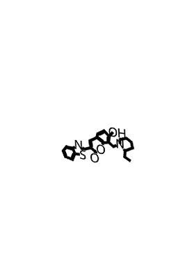 CCC1CCCCN1Cc1c(O)ccc2cc(-c3nc4ccccc4s3)c(=O)oc12